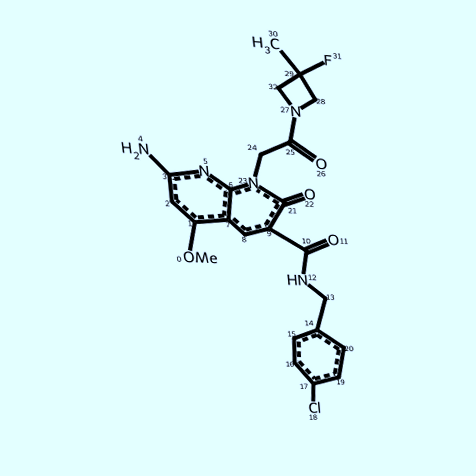 COc1cc(N)nc2c1cc(C(=O)NCc1ccc(Cl)cc1)c(=O)n2CC(=O)N1CC(C)(F)C1